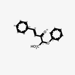 O=C(O)C(Oc1ccccc1)C(=O)C=Cc1ccccc1